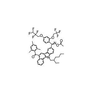 CCCCC(CC)Cn1c2ccc(/C(=N\OC(C)=O)c3ccc(OCC(F)(F)C(F)F)cc3OCC(F)(F)F)cc2c2cc(C(=O)c3c(C)cc(C)cc3C)c3ccccc3c21